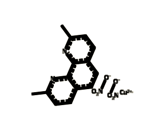 Cc1ccc2ccc3ccc(C)nc3c2n1.O=[N+]([O-])[O-].O=[N+]([O-])[O-].[Cu+2]